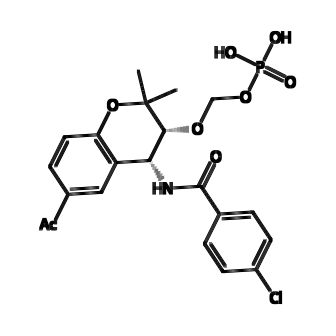 CC(=O)c1ccc2c(c1)[C@@H](NC(=O)c1ccc(Cl)cc1)[C@@H](OCOP(=O)(O)O)C(C)(C)O2